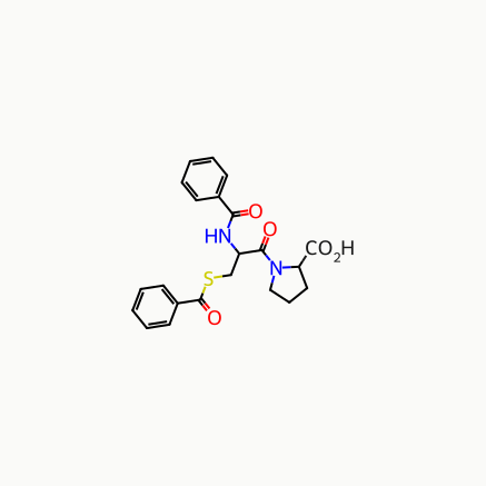 O=C(NC(CSC(=O)c1ccccc1)C(=O)N1CCCC1C(=O)O)c1ccccc1